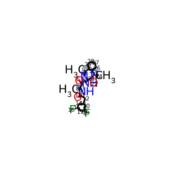 CC1=NC(NC(=O)[C@H](C)NC(=O)Cc2cc(F)cc(F)c2)C(=O)N(C)c2ccccc21